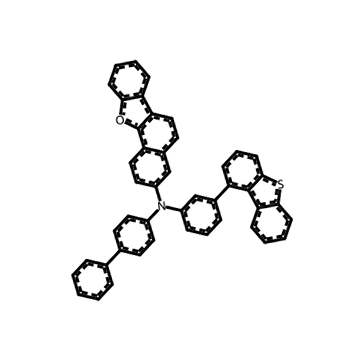 c1ccc(-c2ccc(N(c3cccc(-c4cccc5sc6ccccc6c45)c3)c3ccc4c(ccc5c6ccccc6oc45)c3)cc2)cc1